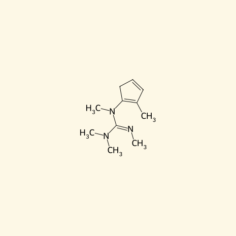 CN=C(N(C)C)N(C)C1=C(C)C=CC1